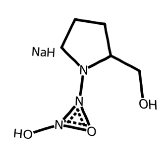 OCC1CCCN1n1on1O.[NaH]